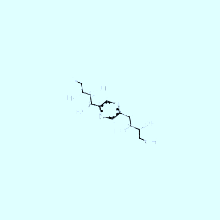 OC[C@H](O)[C@H](O)[C@H](O)c1cnc(C[C@@H](O)[C@@H](O)CO)cn1